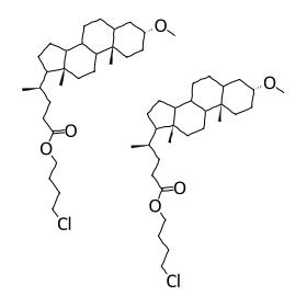 CO[C@@H]1CC[C@@]2(C)C(CCC3C2CC[C@@]2(C)C3CCC2[C@H](C)CCC(=O)OCCCCCl)C1.CO[C@@H]1CC[C@@]2(C)C(CCC3C2CC[C@@]2(C)C3CCC2[C@H](C)CCC(=O)OCCCCCl)C1